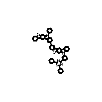 c1ccc(-c2nc(-c3ccccc3)nc(-c3cccc(-n4c5ccccc5c5cc6c(cc54)oc4ccc(-c5ccc7c(c5)c5cc8c(cc5n7-c5ccccc5)oc5ccccc58)cc46)c3)n2)cc1